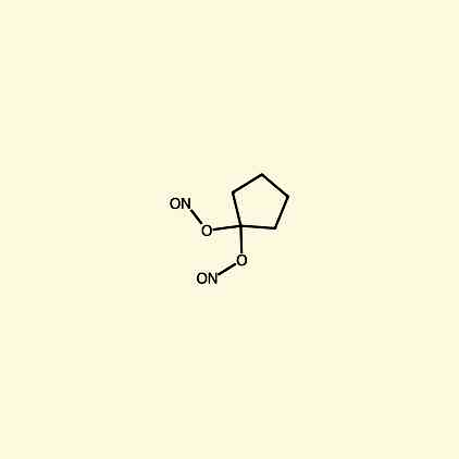 O=NOC1(ON=O)CCCC1